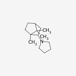 CC1(C)C2CCC1(C)C(N1CCCC1)C2